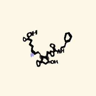 O=C(O)CCC/C=C\C[C@H]1C(=O)C[C@@H](O)[C@@H]1COC(=O)NCCc1ccccc1